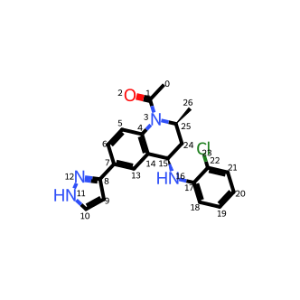 CC(=O)N1c2ccc(-c3cc[nH]n3)cc2[C@H](Nc2ccccc2Cl)C[C@@H]1C